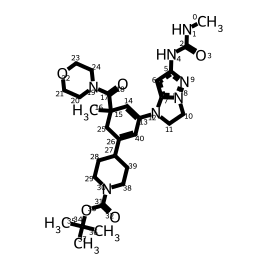 CNC(=O)Nc1cc2n(n1)CCN2C1=CC(C)(C(=O)N2CCOCC2)CC(C2CCN(C(=O)OC(C)(C)C)CC2)=C1